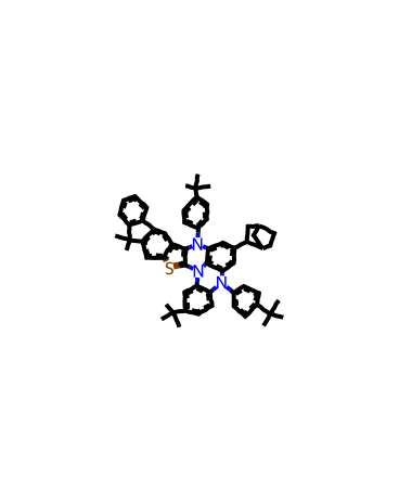 CC(C)(C)c1ccc(N2c3ccc(C(C)(C)C)cc3N3c4sc5cc6c(cc5c4N(c4ccc(C(C)(C)C)cc4)c4cc(C5CC7CCC5C7)cc2c43)-c2ccccc2C6(C)C)cc1